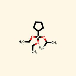 CCO[Si](OCC)(OC(C)C)C1CCCC1